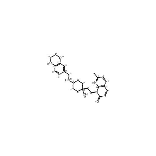 Cc1cnc2ccc(=O)n(CCC3(O)CCC(NCc4cc5c(cn4)OCCO5)CC3)c2n1